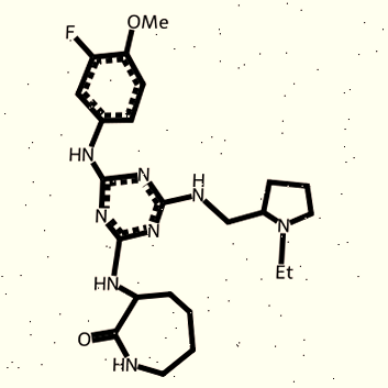 CCN1CCCC1CNc1nc(Nc2ccc(OC)c(F)c2)nc(NC2CCCCNC2=O)n1